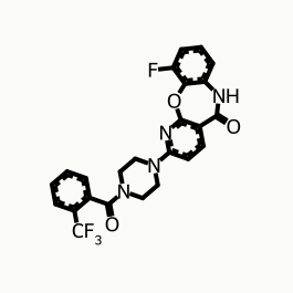 O=C1Nc2cccc(F)c2Oc2nc(N3CCN(C(=O)c4ccccc4C(F)(F)F)CC3)ccc21